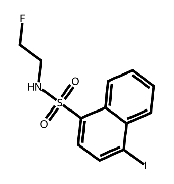 O=S(=O)(NCCF)c1ccc(I)c2ccccc12